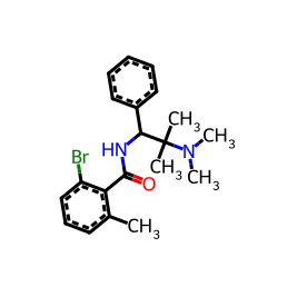 Cc1cccc(Br)c1C(=O)NC(c1ccccc1)C(C)(C)N(C)C